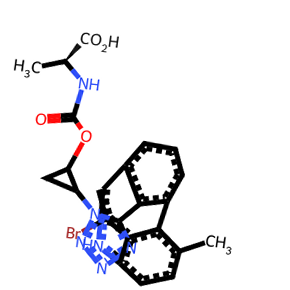 Cc1ccc2[nH]c3c(Br)c2c1-c1cccc-3c1-c1nnnn1C1CC1OC(=O)N[C@@H](C)C(=O)O